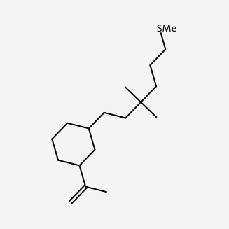 C=C(C)C1CCCC(CCC(C)(C)CCCSC)C1